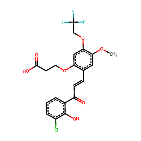 COc1cc(/C=C/C(=O)c2cccc(Cl)c2O)c(OCCC(=O)O)cc1OCC(F)(F)F